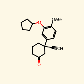 C#CC1(c2ccc(OC)c(OC3CCCC3)c2)CCCC(=O)C1